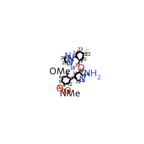 CNS(=O)(=O)c1ccc(OC)c(-c2cnc(N)c(O[C@H](C)c3cc(F)ccc3-n3nccn3)c2)c1